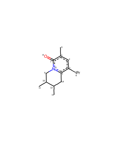 Cc1cc(C(C)C)c2n(c1=O)CC(C)C(C)C2